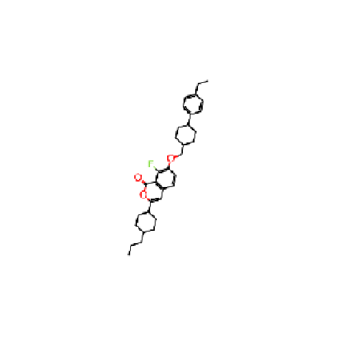 CCCC1CCC(c2cc3ccc(OCC4CCC(c5ccc(CC)cc5)CC4)c(F)c3c(=O)o2)CC1